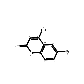 CC(C)c1ccc2oc(=O)cc(O)c2c1